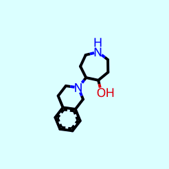 OC1CCNCCC1N1CCc2ccccc2C1